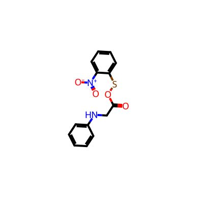 O=C(CNc1ccccc1)OSc1ccccc1[N+](=O)[O-]